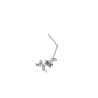 CCCCCCCC/C=C\CCCCCCCC(=O)OC[C@@H](COC)OP(=O)(O)OC[C@H](N)C(=O)O